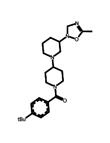 CC1=NCN(C2CCCN(C3CCN(C(=O)c4ccc(C(C)(C)C)cc4)CC3)C2)O1